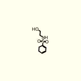 O=S(=O)(NCCO)C1=CC=CCC1